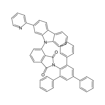 O=C1c2cccc(-n3c4ccccc4c4ccc(-c5ccccn5)cc43)c2C(=O)N1c1c(-c2ccccc2)cc(-c2ccccc2)cc1-c1ccccc1